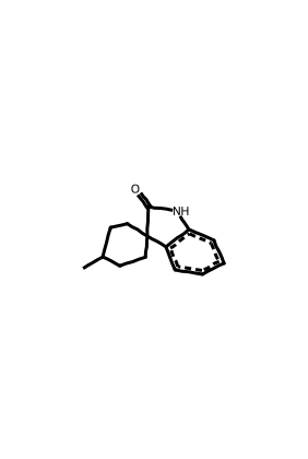 CC1CCC2(CC1)C(=O)Nc1ccccc12